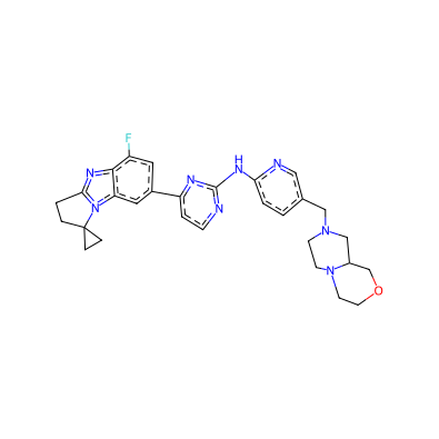 Fc1cc(-c2ccnc(Nc3ccc(CN4CCN5CCOCC5C4)cn3)n2)cc2c1nc1n2C2(CC1)CC2